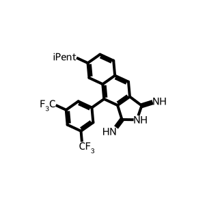 CCCC(C)c1ccc2cc3c(c(-c4cc(C(F)(F)F)cc(C(F)(F)F)c4)c2c1)C(=N)NC3=N